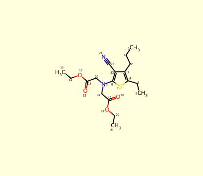 CCCc1c(CC)sc(N(CC(=O)OCC)CC(=O)OCC)c1C#N